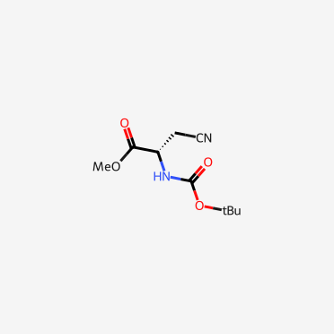 COC(=O)[C@H](CC#N)NC(=O)OC(C)(C)C